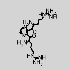 N=C(N)NCCC[C@H](N)C(=O)c1nccnc1C(=O)[C@@H](N)CCCNC(=N)N